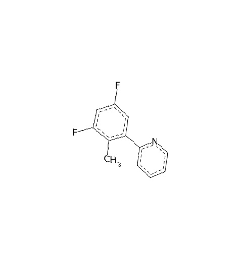 Cc1c(F)cc(F)cc1-c1ccccn1